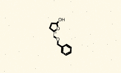 OC1CC[C@@H](COCc2ccccc2)O1